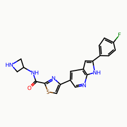 O=C(NC1CNC1)c1nc(-c2cnc3[nH]c(-c4ccc(F)cc4)cc3c2)cs1